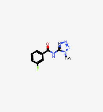 CCCn1nnnc1NC(=O)c1cccc(F)c1